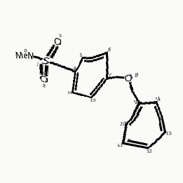 CNS(=O)(=O)c1ccc(Oc2ccccc2)cc1